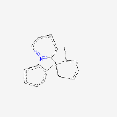 CC1=CC=[C]CC1(c1ccccc1)c1ccccn1